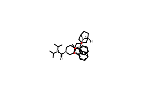 Cc1nc2ccccc2n1C1CC2CC[C@H](C1)N2CCC1(c2ccccc2)CCN(C(=O)N(C(C)C)C(C)C)CC1